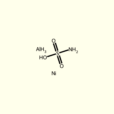 NS(=O)(=O)O.[AlH3].[Ni]